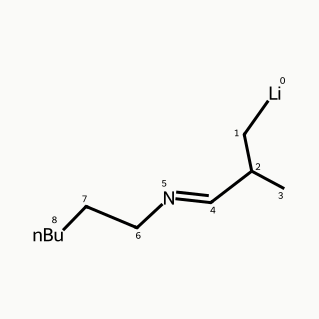 [Li][CH2]C(C)C=NCCCCCC